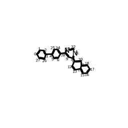 c1ccc(-c2ccc(-c3cc(-c4ccc5ccccc5c4)ncn3)cc2)cc1